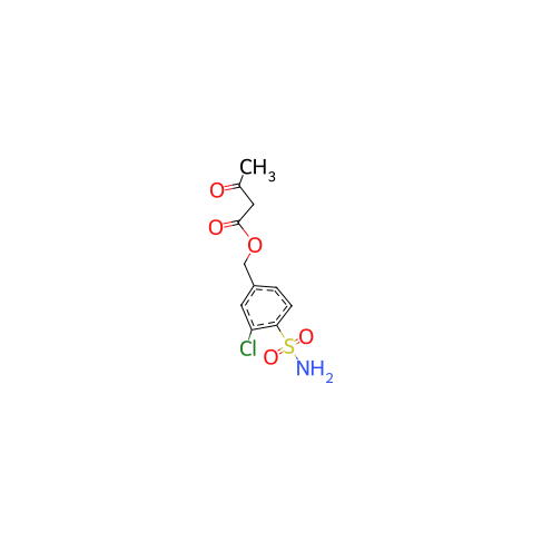 CC(=O)CC(=O)OCc1ccc(S(N)(=O)=O)c(Cl)c1